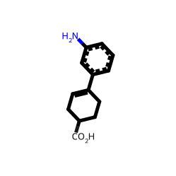 Nc1cccc(C2=CCC(C(=O)O)CC2)c1